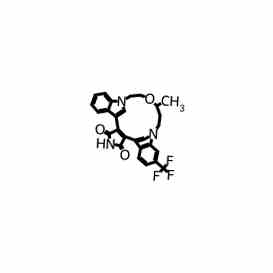 CC1CCn2cc(c3ccc(C(F)(F)F)cc32)C2=C(C(=O)NC2=O)c2cn(c3ccccc23)CCO1